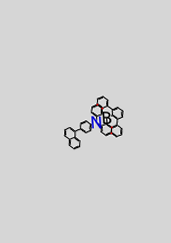 c1ccc(-c2cccc(-c3ccccc3)c2B2c3ccccc3N(c3ccc(-c4cccc5ccccc45)cc3)c3ccccc32)cc1